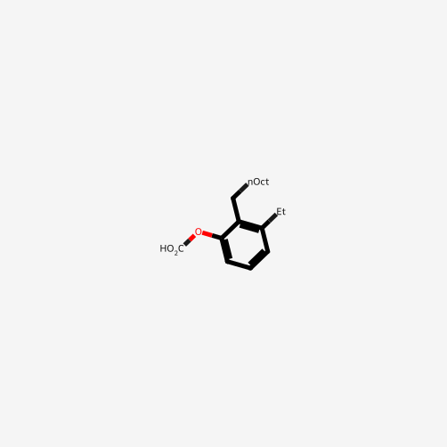 CCCCCCCCCc1c(CC)cccc1OC(=O)O